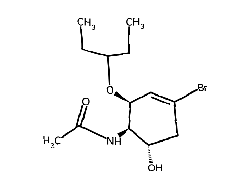 CCC(CC)O[C@H]1C=C(Br)C[C@H](O)[C@H]1NC(C)=O